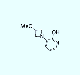 COC1CN(c2cccnc2O)C1